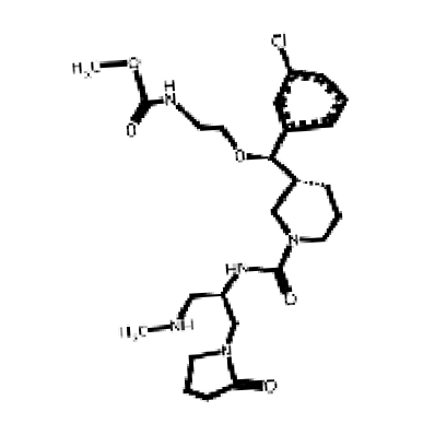 CNC[C@H](CN1CCCC1=O)NC(=O)N1CCC[C@@H]([C@@H](OCCNC(=O)OC)c2cccc(Cl)c2)C1